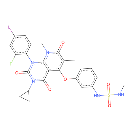 CNS(=O)(=O)Nc1cccc(Oc2c(C)c(=O)n(C)c3c2c(=O)n(C2CC2)c(=O)n3-c2ccc(I)cc2F)c1